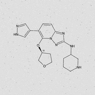 c1n[nH]cc1-c1ccc2nc(NC3CCCNC3)nn2c1O[C@H]1CCOC1